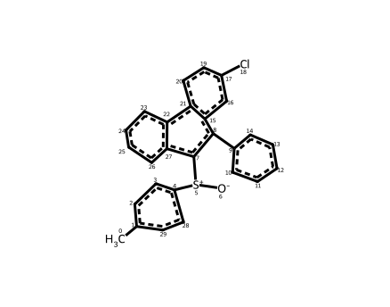 Cc1ccc([S+]([O-])c2c(-c3ccccc3)c3cc(Cl)ccc3c3ccccc23)cc1